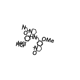 COc1cc2c(cc1CN[C@H]1CCCN(C(=O)CN(C)C)[C@H]1c1ccccc1)N(C)C(=O)CC2.Cl.Cl